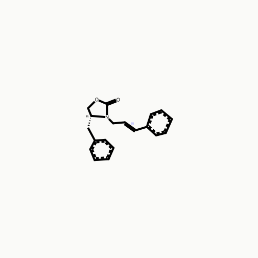 O=C1OC[C@@H](Cc2ccccc2)N1C/C=C/c1ccccc1